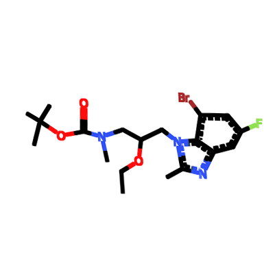 CCOC(CN(C)C(=O)OC(C)(C)C)Cn1c(C)nc2cc(F)cc(Br)c21